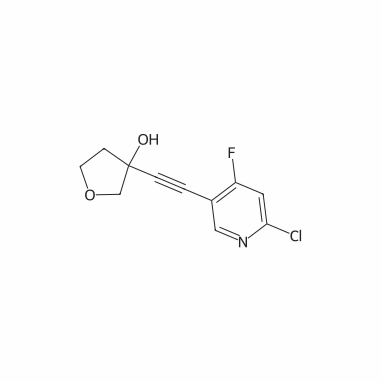 OC1(C#Cc2cnc(Cl)cc2F)CCOC1